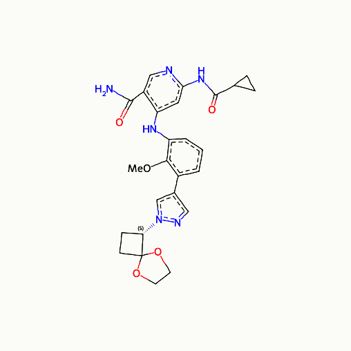 COc1c(Nc2cc(NC(=O)C3CC3)ncc2C(N)=O)cccc1-c1cnn([C@H]2CCC23OCCO3)c1